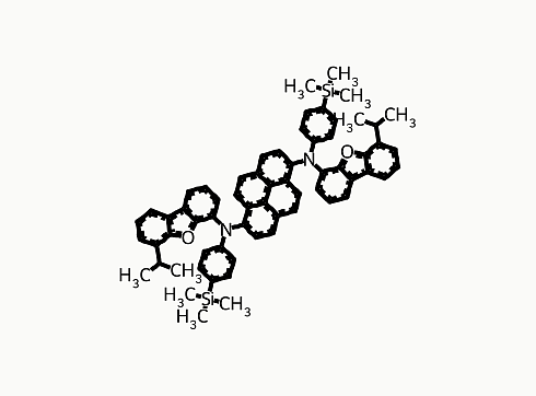 CC(C)c1cccc2c1oc1c(N(c3ccc([Si](C)(C)C)cc3)c3ccc4ccc5c(N(c6ccc([Si](C)(C)C)cc6)c6cccc7c6oc6c(C(C)C)cccc67)ccc6ccc3c4c65)cccc12